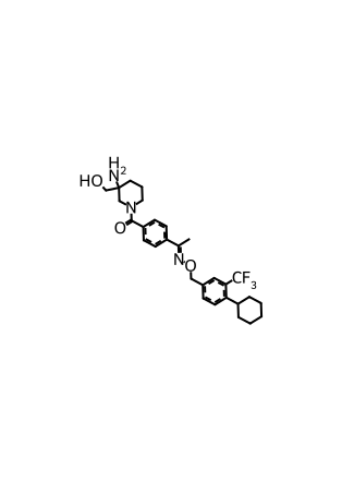 C/C(=N\OCc1ccc(C2CCCCC2)c(C(F)(F)F)c1)c1ccc(C(=O)N2CCCC(N)(CO)C2)cc1